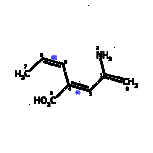 C=C(N)/C=C(\C=C/C)C(=O)O